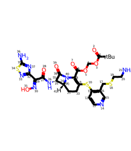 CC(C)(C)C(=O)OCOC(=O)C1=C(Sc2ccncc2CSCCN)CC[C@@H]2[C@H](NC(=O)C(=NO)c3nsc(N)n3)C(=O)N12